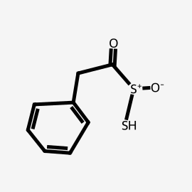 O=C(Cc1ccccc1)[S+]([O-])S